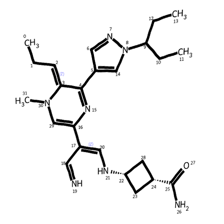 CC/C=C1/C(c2cnn(C(CC)CC)c2)=NC(/C(C=N)=C/N[C@H]2C[C@@H](C(N)=O)C2)=CN1C